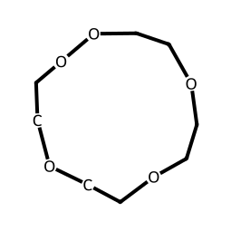 C1COCCOOCCOCCO1